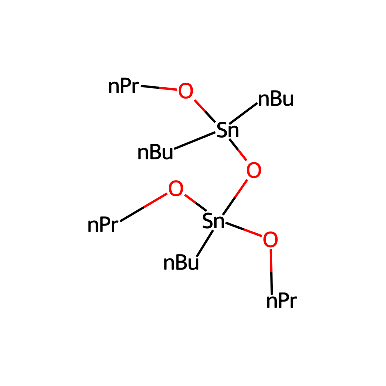 CCC[CH2][Sn]([CH2]CCC)([O]CCC)[O][Sn]([CH2]CCC)([O]CCC)[O]CCC